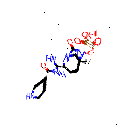 N=C(NC(=O)[C@@H]1CCNC1)[C@@H]1CC[C@@H]2CN1C(=O)N2OS(=O)(=O)O